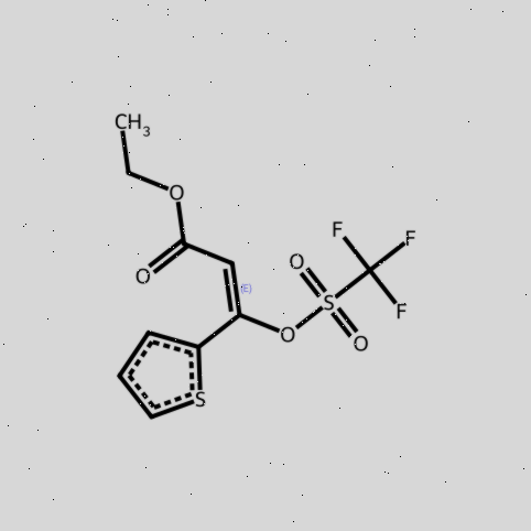 CCOC(=O)/C=C(/OS(=O)(=O)C(F)(F)F)c1cccs1